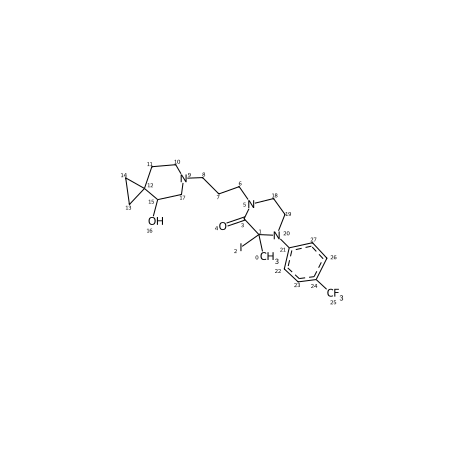 CC1(I)C(=O)N(CCCN2CCC3(CC3)C(O)C2)CCN1c1ccc(C(F)(F)F)cc1